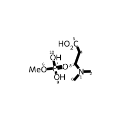 CN(C)CCC(=O)O.COP(=O)(O)O